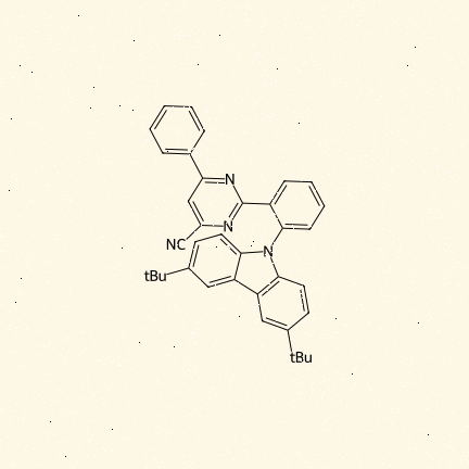 CC(C)(C)c1ccc2c(c1)c1cc(C(C)(C)C)ccc1n2-c1ccccc1-c1nc(C#N)cc(-c2ccccc2)n1